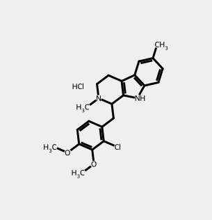 COc1ccc(CC2c3[nH]c4ccc(C)cc4c3CCN2C)c(Cl)c1OC.Cl